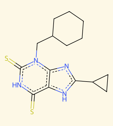 S=c1[nH]c(=S)n(CC2CCCCC2)c2nc(C3CC3)[nH]c12